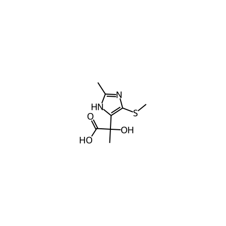 CSc1nc(C)[nH]c1C(C)(O)C(=O)O